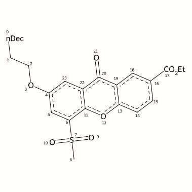 CCCCCCCCCCCCOc1cc(S(C)(=O)=O)c2oc3ccc(C(=O)OCC)cc3c(=O)c2c1